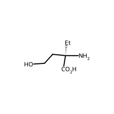 CC[C@@](N)(CCO)C(=O)O